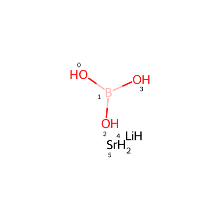 OB(O)O.[LiH].[SrH2]